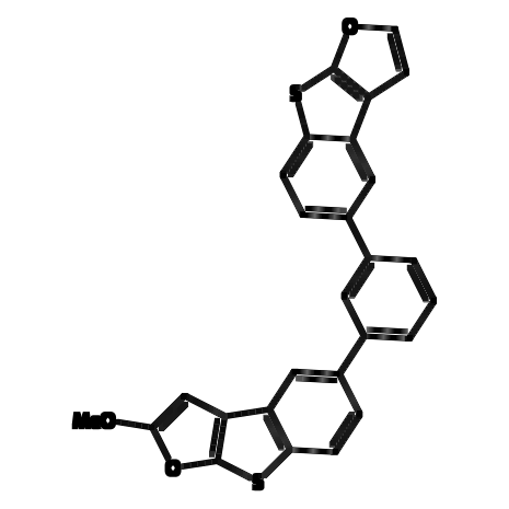 COc1cc2c(o1)sc1ccc(-c3cccc(-c4ccc5sc6occc6c5c4)c3)cc12